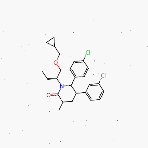 CC[C@@H](COCC1CC1)N1C(=O)C(C)CC(c2cccc(Cl)c2)C1c1ccc(Cl)cc1